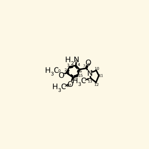 COc1cc(N)c(C(=O)N2CCC[C@H]2C)cc1OC